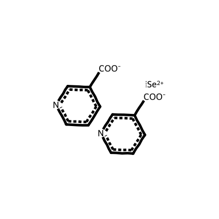 O=C([O-])c1cccnc1.O=C([O-])c1cccnc1.[Se+2]